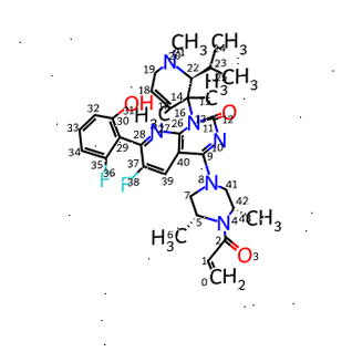 C=CC(=O)N1[C@H](C)CN(c2nc(=O)n(C3(C)C(C)=CCN(C)[C@H]3C(C)C)c3nc(-c4c(O)cccc4F)c(F)cc23)C[C@@H]1C